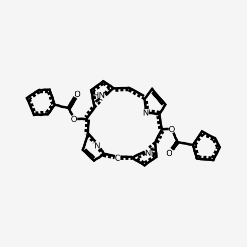 O=C(Oc1c2nc(cc3ccc([nH]3)c(OC(=O)c3ccccc3)c3nc(cc4ccc1[nH]4)C=C3)C=C2)c1ccccc1